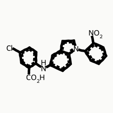 O=C(O)c1cc(Cl)ccc1Nc1ccc2c(ccn2-c2ccccc2[N+](=O)[O-])c1